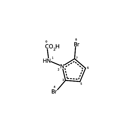 O=C(O)Nn1c(Br)ccc1Br